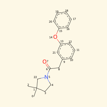 CC1(C)CCN(C(=O)Cc2cccc(Oc3ccccc3)c2)C1